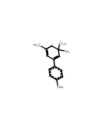 COc1ccc(C2=CC(C)(C(=O)O)CC(C(=O)O)=C2)cc1